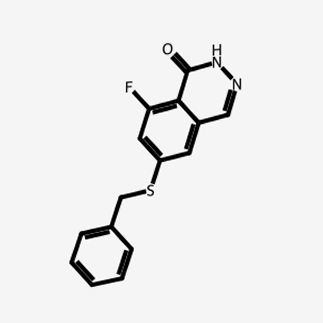 O=c1[nH]ncc2cc(SCc3ccccc3)cc(F)c12